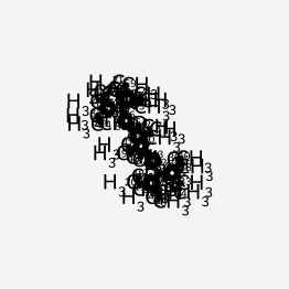 CC(C)(C)c1c2cc3c(oc4cc(N(c5cc([Si](C)(C)C)cc([Si](C)(C)C)c5)c5cc([Si](C)(C)C)cc([Si](C)(C)C)c5)ccc43)c(C(C)(C)C)c2cc2c1oc1cc(N(c3cc([Si](C)(C)C)cc([Si](C)(C)C)c3)c3cc([Si](C)(C)C)cc([Si](C)(C)C)c3)ccc12